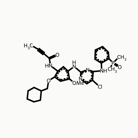 CC#CC(=O)Nc1cc(Nc2ncc(Cl)c(Nc3ccccc3P(C)(C)=O)n2)c(OC)cc1OCC1CCCCC1